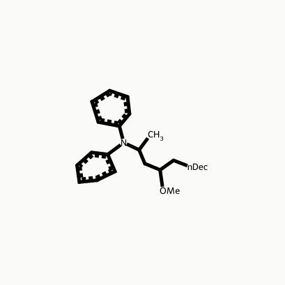 CCCCCCCCCCCC(CC(C)N(c1ccccc1)c1ccccc1)OC